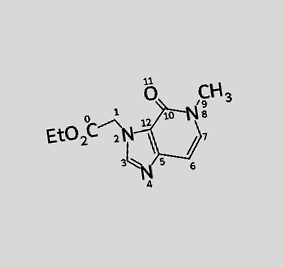 CCOC(=O)Cn1cnc2ccn(C)c(=O)c21